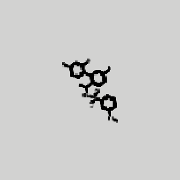 COc1cccc(S(=O)(=O)NC(C)c2ccc(F)cc2-c2ccc(F)cc2F)c1